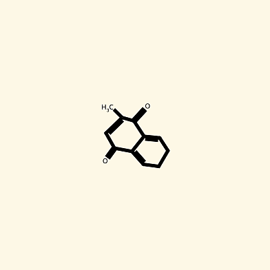 CC1=CC(=O)C2=CCCC=C2C1=O